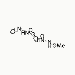 COCCNCCNC(=O)c1cccc(OCC(=O)NCCCN2CCc3ccccc3C2)c1